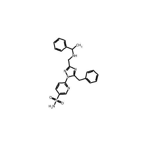 CC(NCc1nc(Cc2ccccc2)n(-c2ccc(S(N)(=O)=O)cn2)n1)c1ccccc1